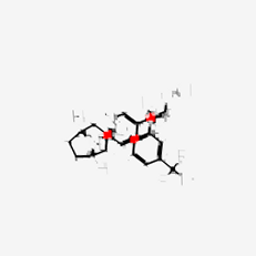 COCOc1cc(C(F)(F)F)ccc1O[C@H]1C[C@H]2CC[C@@H](C1)N2c1ccc(C(F)(F)F)cn1